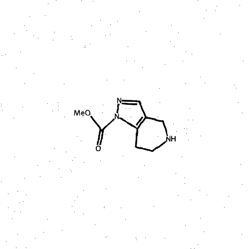 COC(=O)n1ncc2c1CCNC2